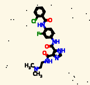 CN(C)CCNC(=O)c1nc[nH]c1C(=O)Nc1ccc(NC(=O)c2ccccc2Cl)c(F)c1